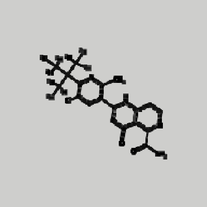 [2H]C([2H])([2H])C(c1nc(C)c(-c2cc(=O)c3c(C(N)=O)nccc3[nH]2)cc1Cl)(C([2H])([2H])[2H])C([2H])([2H])[2H]